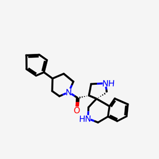 O=C([C@@H]1CNC[C@]12CNCc1ccccc12)N1CCC(c2ccccc2)CC1